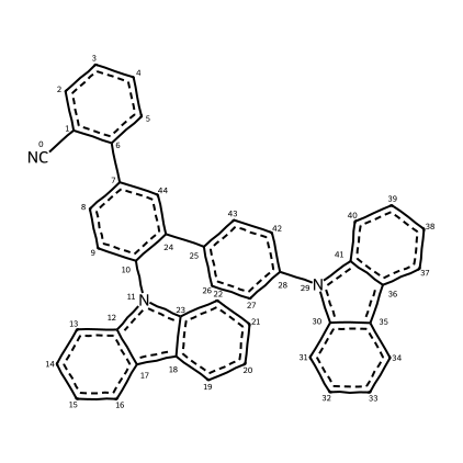 N#Cc1ccccc1-c1ccc(-n2c3ccccc3c3ccccc32)c(-c2ccc(-n3c4ccccc4c4ccccc43)cc2)c1